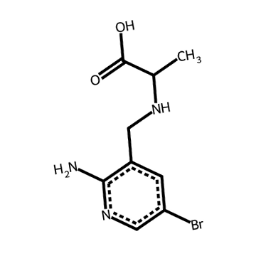 CC(NCc1cc(Br)cnc1N)C(=O)O